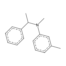 Cc1cccc(N(C)C(C)c2ccccc2)c1